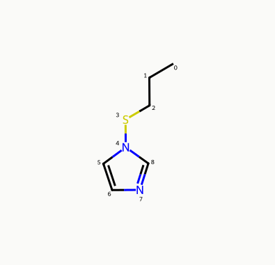 CCCSn1ccnc1